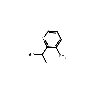 CCCC(C)c1ncccc1P